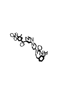 Cc1cc(C(=O)c2cc(N3CCC(N4CCc5cccc(F)c5NC4=O)CC3)ncn2)cc2oc(=O)n(C)c12